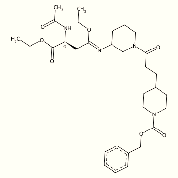 CCOC(=O)[C@H](CC(=NC1CCCN(C(=O)CCC2CCN(C(=O)OCc3ccccc3)CC2)C1)OCC)NC(C)=O